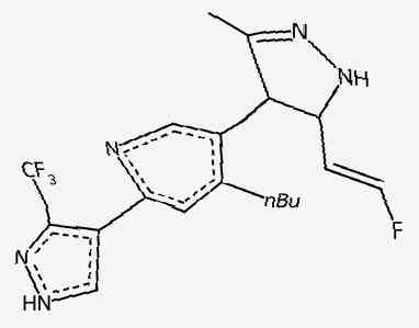 CCCCc1cc(-c2c[nH]nc2C(F)(F)F)ncc1C1C(C)=NNC1/C=C/F